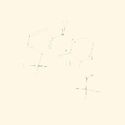 O=C1c2cccc(C(F)(F)F)c2C[C@@H]2C(OC(=O)C(F)(F)F)NCCN12